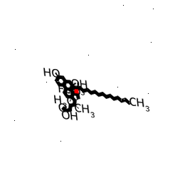 CCCCCCCCCCCCCCCC(=O)[C@@]1(O)CC2C[C@H](O)CC[C@]2(C)[C@H]2CC[C@]3(C)[C@@H]([C@H](C)CCC(=O)O)CC[C@H]3[C@@H]21